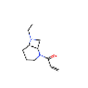 C=CC(=O)N1CCCC2C1CN2CC